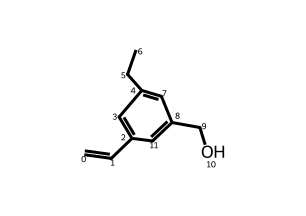 C=Cc1cc(CC)cc(CO)c1